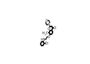 CCc1ccccc1NCCOc1ccc2c(=O)cc(N3CCOCC3)oc2c1C